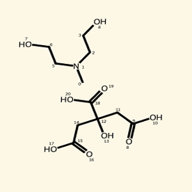 CN(CCO)CCO.O=C(O)CC(O)(CC(=O)O)C(=O)O